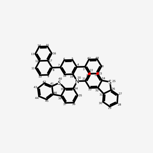 c1ccc(-c2ccc(-c3cccc4ccccc34)cc2N(c2ccc3sc4ccccc4c3c2)c2cccc3c2sc2ccccc23)cc1